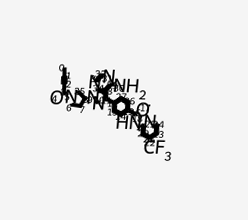 CC#CC(=O)N1CC[C@@H](n2nc(-c3ccc(C(=O)Nc4cc(C(F)(F)F)ccn4)cc3)c3c(N)ncnc32)C1